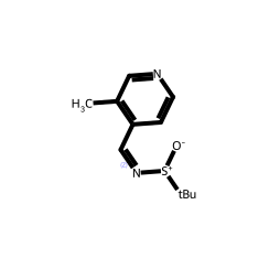 Cc1cnccc1/C=N\[S+]([O-])C(C)(C)C